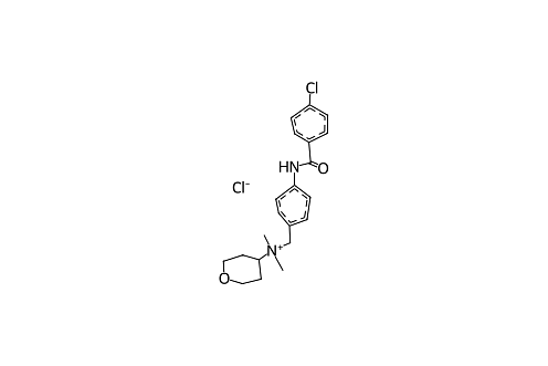 C[N+](C)(Cc1ccc(NC(=O)c2ccc(Cl)cc2)cc1)C1CCOCC1.[Cl-]